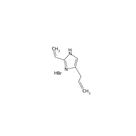 Br.C=CCc1c[nH]c(C=C)n1